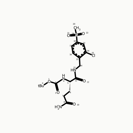 CC(C)(C)OC(=O)N[C@@H](CCC(N)=O)C(=O)NCc1ccc(S(C)(=O)=O)cc1Cl